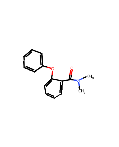 CN(C)C(=O)c1ccccc1Oc1ccccc1